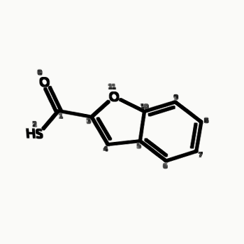 O=C(S)c1cc2ccccc2o1